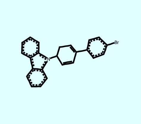 Brc1ccc(C2=CCC(n3c4ccccc4c4ccccc43)C=C2)cc1